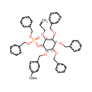 C=CCO[C@H]1[C@@H](OCc2ccccc2)[C@H](OCc2ccccc2)[C@@H](OCc2ccccc2)[C@H](OCc2ccc(OC)cc2)[C@H]1OP(=O)(OCc1ccccc1)OCc1ccccc1